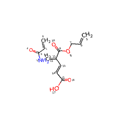 C=CC(N)=O.C=CCOC(=O)C(=C)C=CC(=O)O